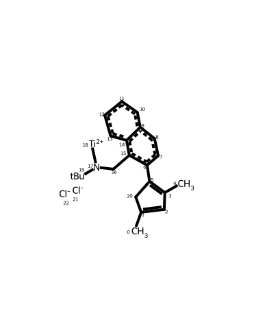 CC1=CC(C)=C(c2ccc3ccccc3c2C[N]([Ti+2])C(C)(C)C)C1.[Cl-].[Cl-]